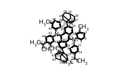 Cc1cccc(N(c2ccc(C(C)C)cc2)c2c3ccc(C45CC6CC(CC(C6)C4)C5)cc3c(N(c3cccc(C)c3)c3ccc(C(C)C)c(C)c3)c3ccc(C45CC6CC(CC(C6)C4)C5)cc23)c1